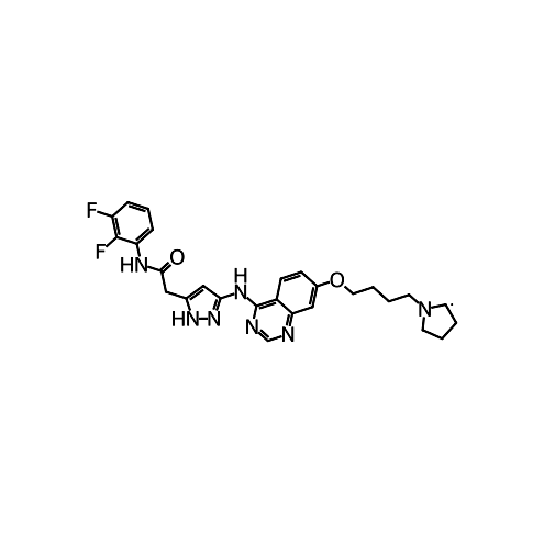 O=C(Cc1cc(Nc2ncnc3cc(OCCCCN4[CH]CCC4)ccc23)n[nH]1)Nc1cccc(F)c1F